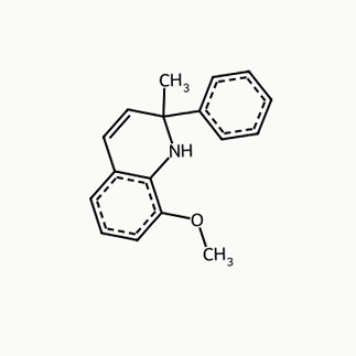 COc1cccc2c1NC(C)(c1ccccc1)C=C2